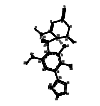 COC1=CC(=O)C[C@@H](C)[C@]12Oc1c(Cl)c(-c3ccn[nH]3)cc(OC)c1C2=O